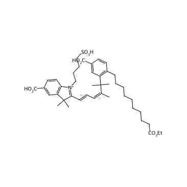 CCOC(=O)CCCCCCCCCc1ccc(C(=O)O)cc1C(C)(C)/C(C)=C\C=C\C1=[N+](CCCCS(=O)(=O)O)c2ccc(C(=O)O)cc2C1(C)C